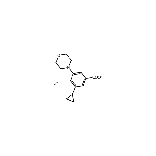 O=C([O-])c1cc(C2CC2)cc(N2CCOCC2)c1.[Li+]